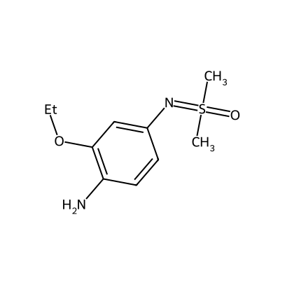 CCOc1cc(N=S(C)(C)=O)ccc1N